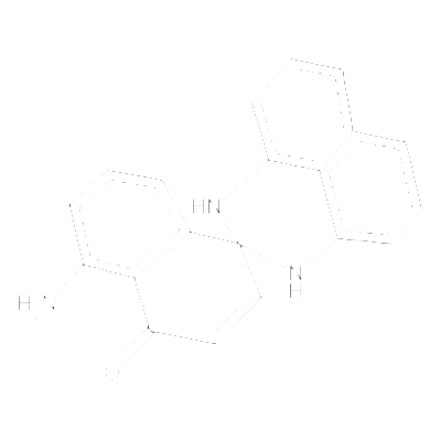 Nc1cccc2c1C(=O)C=CC21Nc2cccc3cccc(c23)N1